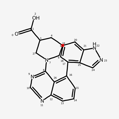 O=C(O)C1CCCN(c2ncnc3cccc(-c4cccc5[nH]ncc45)c23)C1